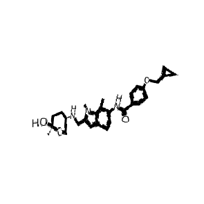 Cc1c(NC(=O)c2ccc(OCC3CC3)cc2)ccc2cc(CN[C@H]3CC[C@](C)(O)CC3)n(C)c12